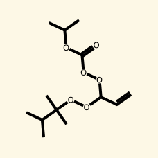 C=CC(OOC(=O)OC(C)C)OOC(C)(C)C(C)C